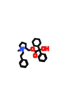 C[N+]1(CCc2ccccc2)CCCC1COC(=O)C(O)(c1ccccc1)C1CCCCC1